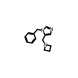 c1ccc(Cn2cncc2CN2CCC2)cc1